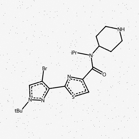 CC(C)N(C(=O)c1csc(-c2nn(C(C)(C)C)cc2Br)n1)C1CCNCC1